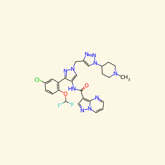 CN1CCC(n2cc(Cn3cc(NC(=O)c4cnn5cccnc45)c(-c4cc(Cl)ccc4OC(F)F)n3)nn2)CC1